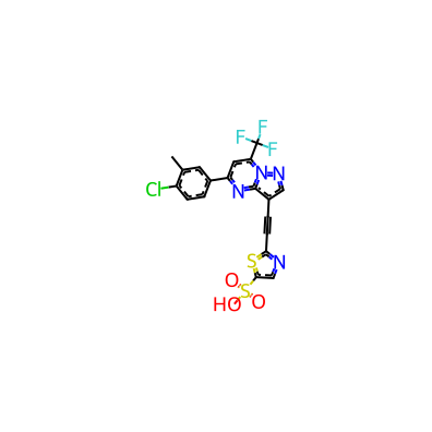 Cc1cc(-c2cc(C(F)(F)F)n3ncc(C#Cc4ncc(S(=O)(=O)O)s4)c3n2)ccc1Cl